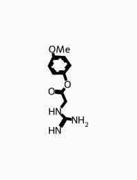 COc1ccc(OC(=O)CNC(=N)N)cc1